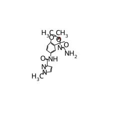 Cn1ccc(C(=O)Nc2ccc3c(c2)C2(COC(N)=N2)C2(COC2)C(C)(C)O3)n1